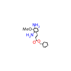 COc1c(N)ccc(C=CC(=O)OCc2ccccc2)c1N